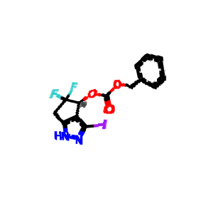 O=C(OCc1ccccc1)O[C@H]1c2c(I)n[nH]c2CC1(F)F